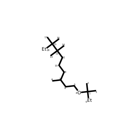 CCC(C)(C)OCCC(C)CCCC(C)(C)C(C)(C)CC